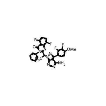 COc1ccc(-c2nn(C(C)c3nc4c(F)ccc(F)c4c(=O)n3-c3ccccc3)c3ncnc(N)c23)c(F)c1F